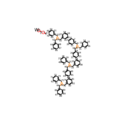 [C]=O.[C]=O.[W].c1ccc(CP(Cc2ccccc2)Cc2ccccc2)cc1.c1ccc(CP(Cc2ccccc2)Cc2ccccc2)cc1.c1ccc(CP(Cc2ccccc2)Cc2ccccc2)cc1.c1ccc(CP(Cc2ccccc2)Cc2ccccc2)cc1